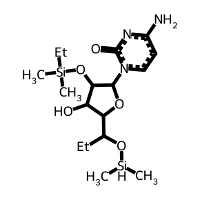 CCC(O[SiH](C)C)C1OC(n2ccc(N)nc2=O)C(O[Si](C)(C)CC)C1O